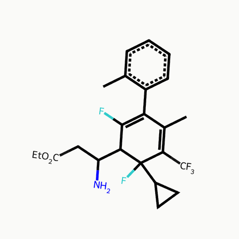 CCOC(=O)CC(N)C1C(F)=C(c2ccccc2C)C(C)=C(C(F)(F)F)C1(F)C1CC1